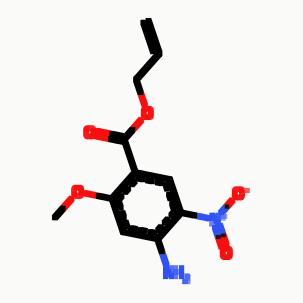 C=CCOC(=O)c1cc([N+](=O)[O-])c(N)cc1OC